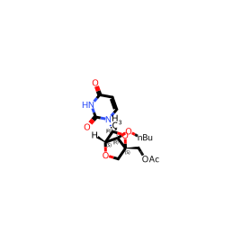 CCCCO[C@]1(C)[C@@H]2OC[C@@]1(COC(C)=O)O[C@H]2n1ccc(=O)[nH]c1=O